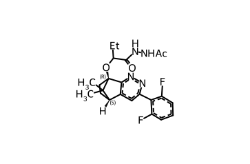 CCC(O[C@@]12CC[C@@H](c3cc(-c4c(F)cccc4F)nnc31)C2(C)C)C(=O)NNC(C)=O